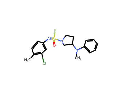 Cc1ccc(N=S(=O)(F)N2CCC(N(C)c3ccccc3)C2)cc1Cl